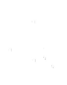 Clc1ccc(C2(Cn3ccnc3)SCc3cc(Cl)ccc32)c(Cl)c1